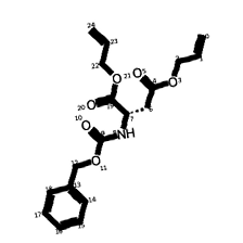 C=CCOC(=O)C[C@H](NC(=O)OCc1ccccc1)C(=O)OCC=C